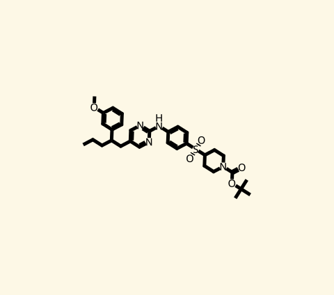 CCCC(Cc1cnc(Nc2ccc(S(=O)(=O)C3CCN(C(=O)OC(C)(C)C)CC3)cc2)nc1)c1cccc(OC)c1